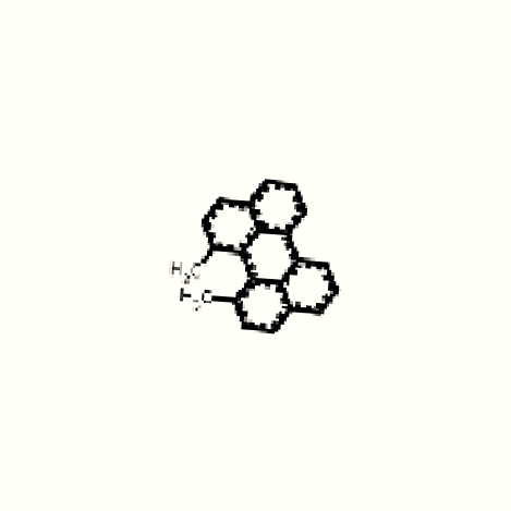 Cc1ccc2cccc3c4cccc5ccc(C)c(c1c23)c54